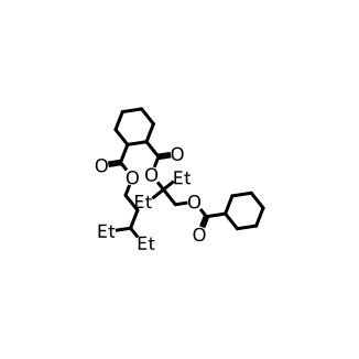 CCC(CC)CCOC(=O)C1CCCCC1C(=O)OC(CC)(CC)COC(=O)C1CCCCC1